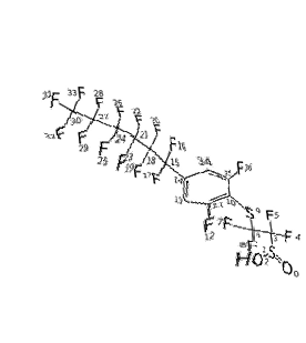 O=S(O)C(F)(F)C(F)(F)Sc1c(F)cc(C(F)(F)C(F)(F)C(F)(F)C(F)(F)C(F)(F)C(F)(F)F)cc1F